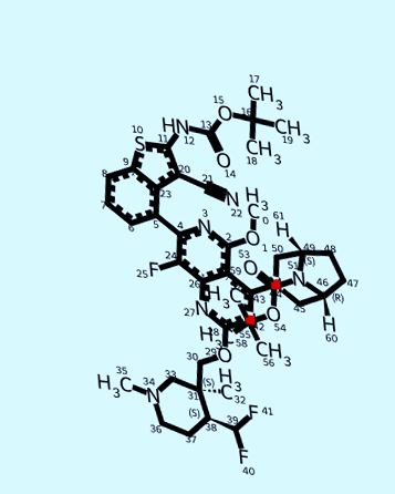 COc1nc(-c2cccc3sc(NC(=O)OC(C)(C)C)c(C#N)c23)c(F)c2nc(OC[C@]3(C)CN(C)CC[C@@H]3C(F)F)nc(N3C[C@H]4CC[C@@H](C3)N4C(=O)OC(C)(C)C)c12